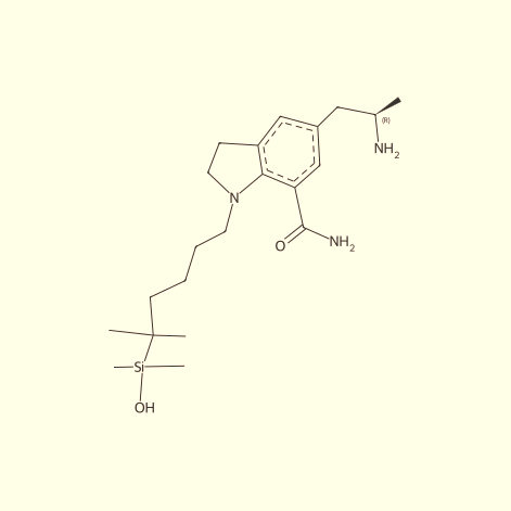 C[C@@H](N)Cc1cc2c(c(C(N)=O)c1)N(CCCCC(C)(C)[Si](C)(C)O)CC2